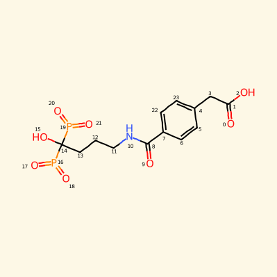 O=C(O)Cc1ccc(C(=O)NCCCC(O)(P(=O)=O)P(=O)=O)cc1